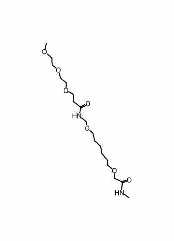 CNC(=O)COCCCCCCOCNC(=O)CCOCCOCCOC